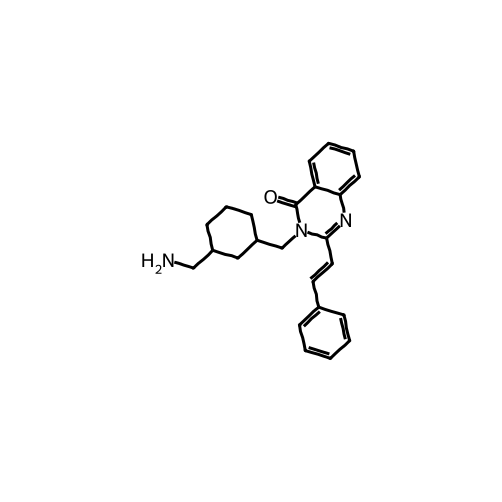 NCC1CCCC(Cn2c(C=Cc3ccccc3)nc3ccccc3c2=O)C1